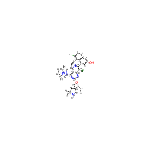 C#Cc1c(F)ccc2cc(O)cc(-c3ncc4c(N5C[C@H]6CC[C@@H](C5)N6)nc(OCC56CCCC5N(C)C5(CC5)C6)nc4c3F)c12